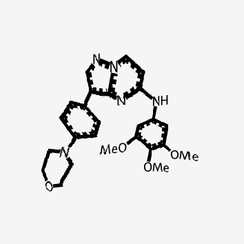 COc1cc(Nc2ccn3ncc(-c4ccc(N5CCOCC5)cc4)c3n2)cc(OC)c1OC